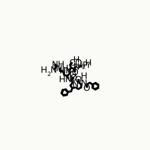 CC(C)CNC(=O)C(CC(=O)O)NC(=O)C(CCCNC(=N)N)NC(=O)C1CC(Cc2ccccc2)C2CCC(NC(=O)Cc3ccccc3)C(=O)N12